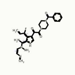 C=C/C(F)=c1/c(C(=O)C(=O)N2CCN(C(=O)c3ccccc3)CC2)c[nH]/c1=C(/N)N(N)/C=C\N=C